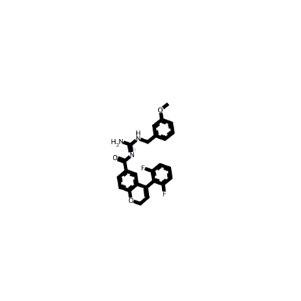 COc1cccc(CN/C(N)=N/C(=O)c2ccc3c(c2)C(c2c(F)cccc2F)=CCO3)c1